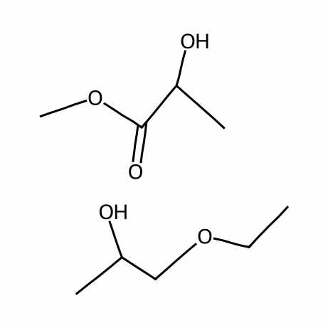 CCOCC(C)O.COC(=O)C(C)O